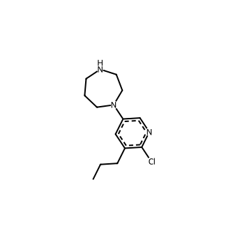 CCCc1cc(N2CCCNCC2)cnc1Cl